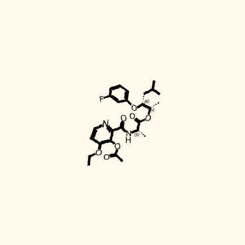 CCOc1ccnc(C(=O)N[C@@H](C)C(=O)O[C@@H](C)[C@@H](CC(C)C)Oc2cccc(F)c2)c1OC(C)=O